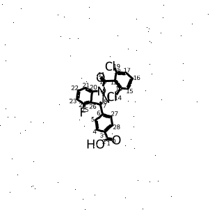 O=C(O)c1ccc(-c2nn(C(=O)c3c(Cl)cccc3Cl)c3cccc(F)c23)cc1